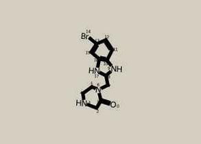 O=C1CNCCN1CC1Nc2ccc(Br)cc2N1